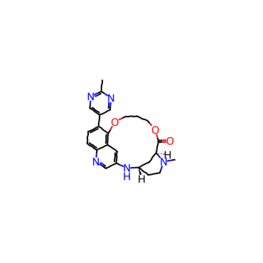 Cc1ncc(-c2ccc3ncc4cc3c2OCCCOC(=O)[C@@H]2C[C@H](CCN2C)N4)cn1